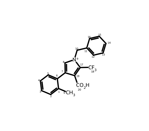 Cc1ccccc1-c1cn(Cc2ccccc2)c(C(F)(F)F)c1C(=O)O